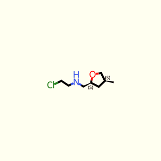 C[C@@H]1CO[C@H](CNCCCl)C1